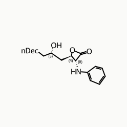 CCCCCCCCCCC[C@H](O)C[C@H]1OC(=O)[C@@H]1Nc1ccccc1